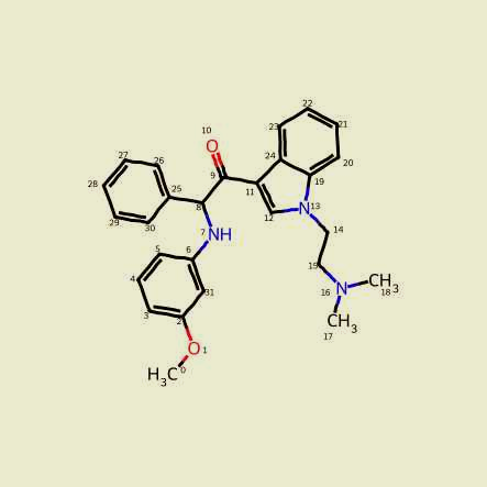 COc1cccc(NC(C(=O)c2cn(CCN(C)C)c3ccccc23)c2ccccc2)c1